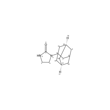 O=C1NCCN1C12CC3C[C@H](C1)C[C@@H](C3)C2